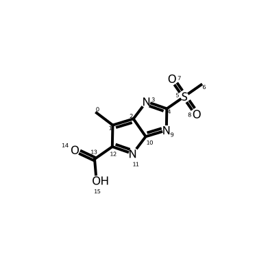 CC1=C2N=C(S(C)(=O)=O)N=C2N=C1C(=O)O